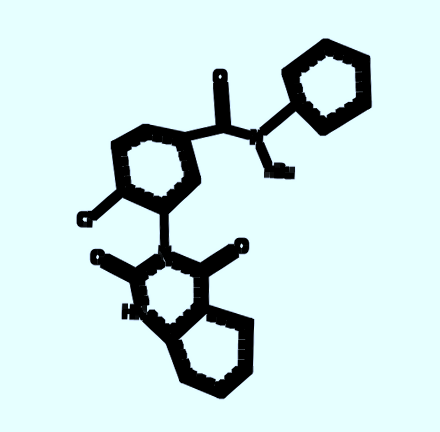 CCCCN(C(=O)c1ccc(Cl)c(-n2c(=O)[nH]c3ccccc3c2=O)c1)c1ccccc1